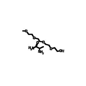 CC(N)C(N)=O.COCCOCCOCCOCCO